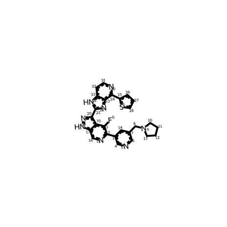 Fc1c(-c2cncc(CN3CCCC3)c2)ncc2[nH]nc(-c3nc4c(-c5cccs5)nccc4[nH]3)c12